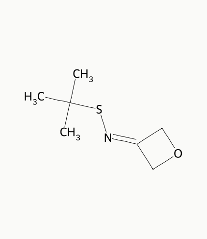 CC(C)(C)SN=C1COC1